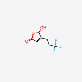 O=C1C=C(CCC(F)(F)F)C(O)O1